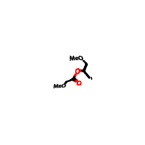 [CH]C(COC)OC(=O)COC